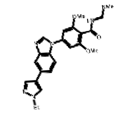 CCn1cc(-c2ccc3c(c2)ncn3-c2cc(OC)c(C(=O)NCNC)c(OC)c2)cn1